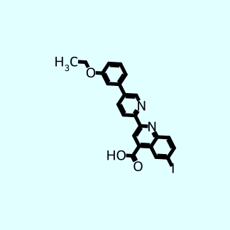 CCOc1cccc(-c2ccc(-c3cc(C(=O)O)c4cc(I)ccc4n3)nc2)c1